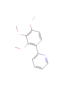 COc1ccc(-c2ccccn2)c(OC)c1OC